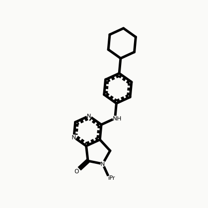 CC(C)N1Cc2c(Nc3ccc(C4CCCCC4)cc3)ncnc2C1=O